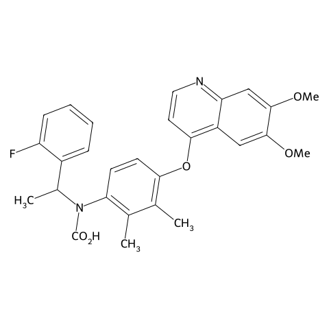 COc1cc2nccc(Oc3ccc(N(C(=O)O)C(C)c4ccccc4F)c(C)c3C)c2cc1OC